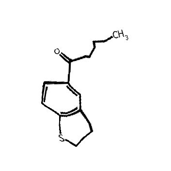 CCCC(=O)c1ccc2c(c1)CCS2